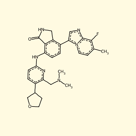 Cc1ccn2c(-c3ccc(Nc4ccc(C5CCOC5)c(CN(C)C)n4)c4c3CNC4=O)cnc2c1F